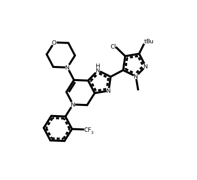 Cn1nc(C(C)(C)C)c(Cl)c1-c1nc2c([nH]1)C(N1CCOCC1)=CN(c1ccccc1C(F)(F)F)C2